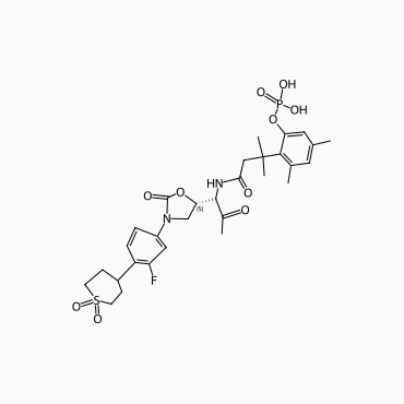 CC(=O)C(NC(=O)CC(C)(C)c1c(C)cc(C)cc1OP(=O)(O)O)[C@@H]1CN(c2ccc(C3CCS(=O)(=O)CC3)c(F)c2)C(=O)O1